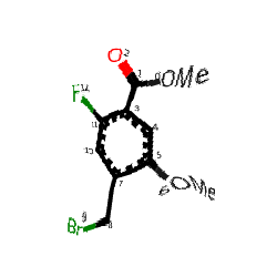 COC(=O)c1cc(OC)c(CBr)cc1F